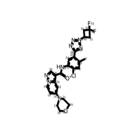 Cc1cc(Cl)c(NC(=O)c2cnn3ccc(N4CCOCC4)cc23)cc1-c1nnn(C2CC(F)(F)C2)n1